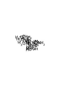 CC[C@H](NP(=O)(OC[C@@]1(C#N)O[C@@H](c2ccc3c(N)ncnn23)[C@H](O)[C@@H]1O)Oc1ccccc1)C(=O)OCC(C)(C)C